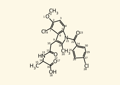 COc1ccc2c(c1Cl)c(CC(=O)NC(C)C(=O)O)c(C)n2C(=O)c1ccc(Cl)cc1